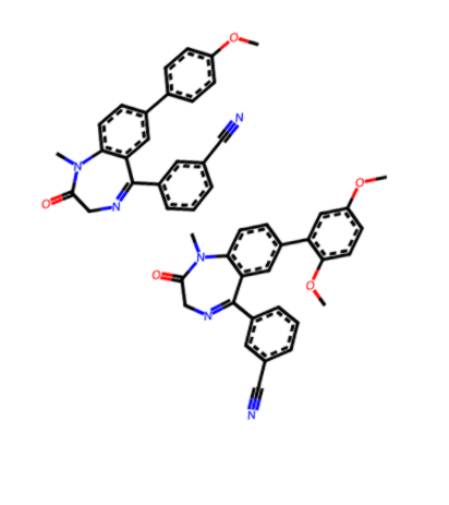 COc1ccc(-c2ccc3c(c2)C(c2cccc(C#N)c2)=NCC(=O)N3C)cc1.COc1ccc(OC)c(-c2ccc3c(c2)C(c2cccc(C#N)c2)=NCC(=O)N3C)c1